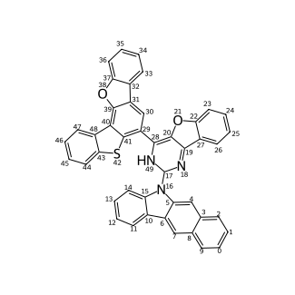 c1ccc2cc3c(cc2c1)c1ccccc1n3C1N=c2c(oc3ccccc23)=C(c2cc3c4ccccc4oc3c3c2sc2ccccc23)N1